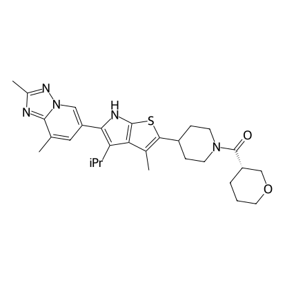 Cc1nc2c(C)cc(-c3[nH]c4sc(C5CCN(C(=O)[C@H]6CCCOC6)CC5)c(C)c4c3C(C)C)cn2n1